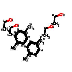 CC[O-].CC[O-].CC[O-].CC[O-].Cc1cc[c]([Al+2])cc1.Cc1cc[c]([Al+2])cc1